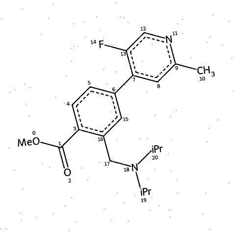 COC(=O)c1ccc(-c2cc(C)ncc2F)cc1CN(C(C)C)C(C)C